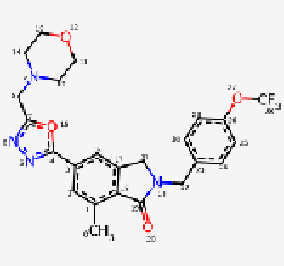 Cc1cc(-c2nnc(CN3CCOCC3)o2)cc2c1C(=O)N(Cc1ccc(OC(F)(F)F)cc1)C2